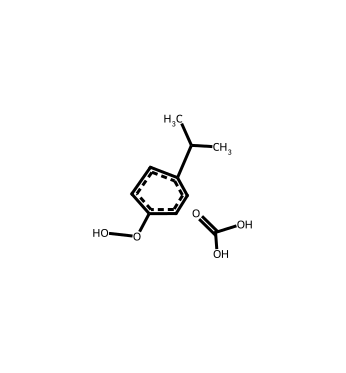 CC(C)c1ccc(OO)cc1.O=C(O)O